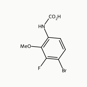 COc1c(NC(=O)O)ccc(Br)c1F